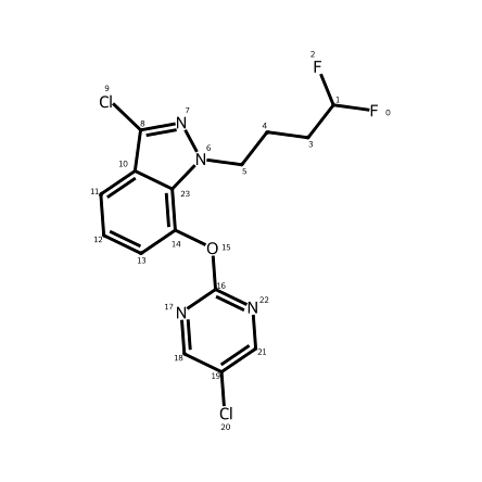 FC(F)CCCn1nc(Cl)c2cccc(Oc3ncc(Cl)cn3)c21